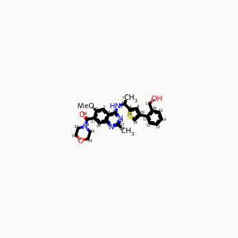 COc1cc2c(NC(C)c3cc(-c4ccccc4CO)cs3)nc(C)nc2cc1C(=O)N1CCOCC1